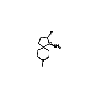 CN1CCC2(CCC(F)[C@H]2N)CC1